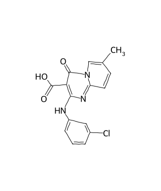 Cc1ccc2nc(Nc3cccc(Cl)c3)c(C(=O)O)c(=O)n2c1